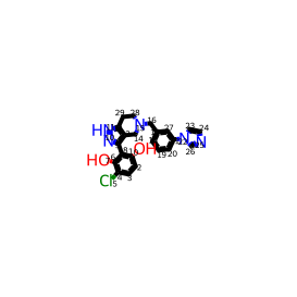 Oc1ccc(Cl)c(O)c1-c1n[nH]c2c1CN(Cc1cccc(-n3ccnc3)c1)CC2